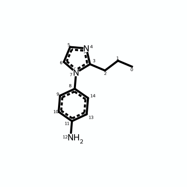 CCCc1nccn1-c1ccc(N)cc1